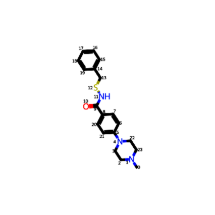 CN1CCN(c2ccc(C(=O)NSCc3ccccc3)cc2)CC1